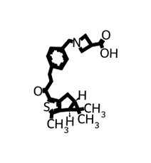 Cc1sc(C(=O)CCc2ccc(CN3CC(C(=O)O)C3)cc2)c2c1[C@H]1[C@@H](C2)C1(C)C